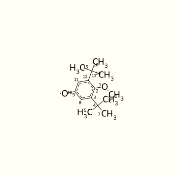 COc1c(C(C)(C)C)cc([O])cc1C(C)(C)C